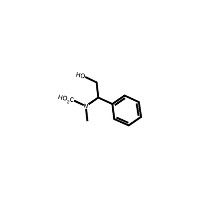 CN(C(=O)O)C(CO)c1ccccc1